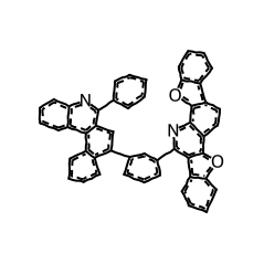 c1ccc(-c2nc3ccccc3c3c2cc(-c2cccc(-c4nc5c(ccc6c7ccccc7oc65)c5oc6ccccc6c45)c2)c2ccccc23)cc1